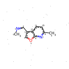 C/N=C\c1coc2nc(C)ccc12